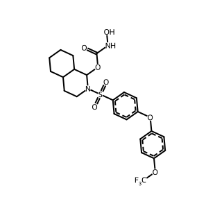 O=C(NO)OC1C2CCCCC2CCN1S(=O)(=O)c1ccc(Oc2ccc(OC(F)(F)F)cc2)cc1